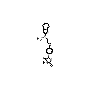 CN(CCOc1ccc(C2SC(=O)NC2=O)cc1)c1nc2ccccc2o1